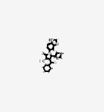 O=C(C1=C(O)C(=O)N(c2ccc3[nH]cnc3c2)C1c1c[nH]cn1)C1CCCCC1